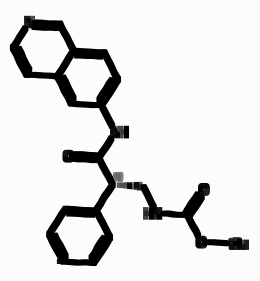 CC(C)(C)OC(=O)NC[C@@H](C(=O)Nc1ccc2cnccc2c1)c1cc[c]cc1